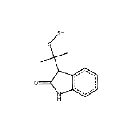 CC(C)(SS)C1C(=O)Nc2ccccc21